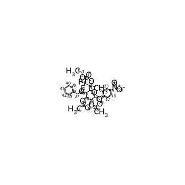 CCOP(=O)(OCC)C(F)(F)CC1OC(Oc2ccc([N+](=O)[O-])cc2)C(OC(C)=O)C(OC(C)=O)C1OCc1ccccc1